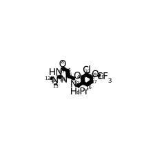 CC(C)[C@@H](NC(=O)c1cc(=O)[nH]c(N(C)C)n1)c1ccc(OC(F)(F)F)c(Cl)c1